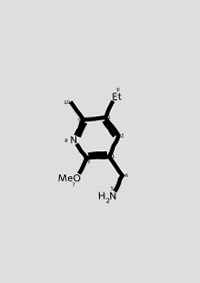 CCc1cc(CN)c(OC)nc1C